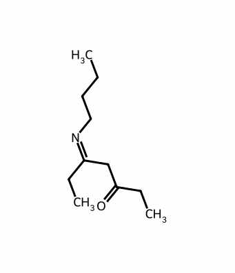 CCCCN=C(CC)CC(=O)CC